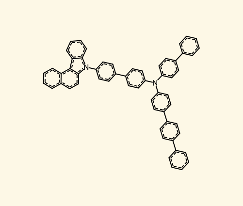 c1ccc(-c2ccc(-c3ccc(N(c4ccc(-c5ccccc5)cc4)c4ccc(-c5ccc(-n6c7ccccc7c7c8ccccc8ccc76)cc5)cc4)cc3)cc2)cc1